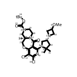 COC1CN([C@H]2CN(c3nc(Cl)c(Cl)c4c3C(=O)N3CCN(C(=O)OC(C)(C)C)C[C@@H]3CO4)C(C)(C)C2)C1